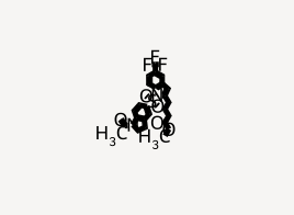 COC(=O)CCCc1cc2cc(C(F)(F)F)ccc2n1S(=O)(=O)c1ccc2c(c1)CCN2C(C)=O